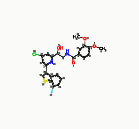 COc1ccc(C(=O)NCC(O)c2cc(Cl)cc(-c3csc4c(F)cccc34)n2)cc1OC